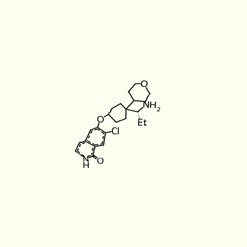 CC[C@@H](N)C1(C2CCOCC2)CCC(Oc2cc3cc[nH]c(=O)c3cc2Cl)CC1